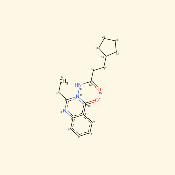 CCc1nc2ccccc2c(=O)n1NC(=O)CCC1CCCC1